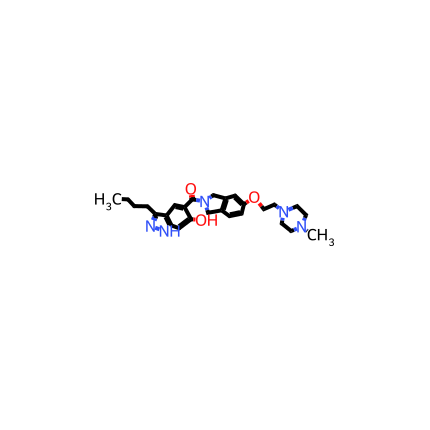 CCCCc1n[nH]c2cc(O)c(C(=O)N3Cc4ccc(OCCN5CCN(C)CC5)cc4C3)cc12